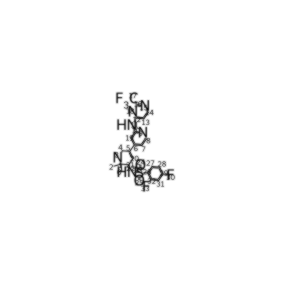 CC1(C)N=CC(c2ccnc(Nc3ccnc(C(F)(F)F)n3)c2)=CC1NS(=O)(=O)c1ccc(F)cc1F